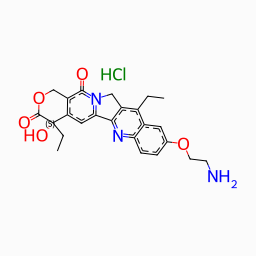 CCc1c2c(nc3ccc(OCCN)cc13)-c1cc3c(c(=O)n1C2)COC(=O)[C@]3(O)CC.Cl